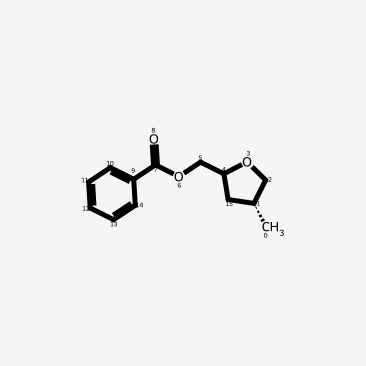 C[C@H]1COC(COC(=O)c2ccccc2)C1